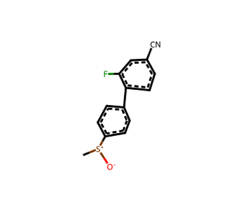 C[S+]([O-])c1ccc(-c2ccc(C#N)cc2F)cc1